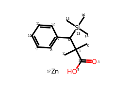 CC(C)(C(=O)O)C(c1ccccc1)[Si](C)(C)C.[Zn]